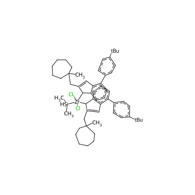 C[SiH](C)[Zr]([Cl])([Cl])([CH]1C(CC2(C)CCCCCC2)=Cc2c(-c3ccc(C(C)(C)C)cc3)cccc21)[CH]1C(CC2(C)CCCCCC2)=Cc2c(-c3ccc(C(C)(C)C)cc3)cccc21